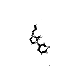 C=CCN1CCN(c2cccnc2)C1=O